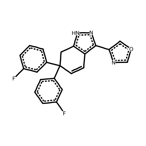 Fc1cccc(C2(c3cccc(F)c3)C=Cc3c(-c4cocn4)n[nH]c3C2)c1